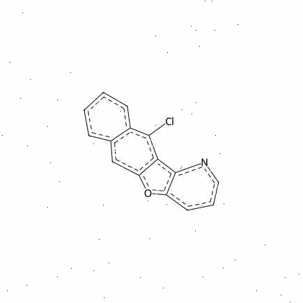 Clc1c2ccccc2cc2oc3cccnc3c12